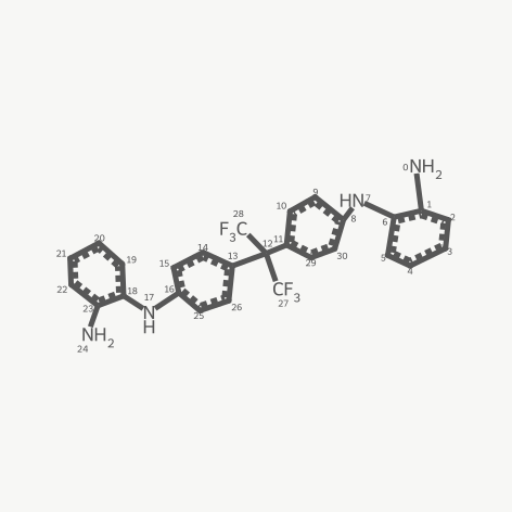 Nc1ccccc1Nc1ccc(C(c2ccc(Nc3ccccc3N)cc2)(C(F)(F)F)C(F)(F)F)cc1